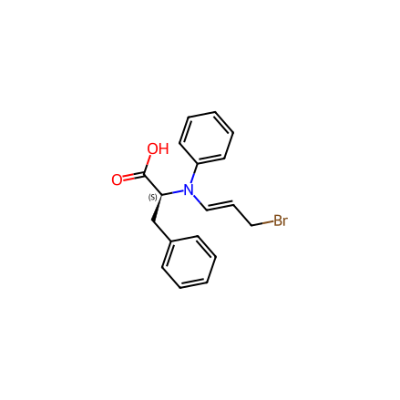 O=C(O)[C@H](Cc1ccccc1)N(C=CCBr)c1ccccc1